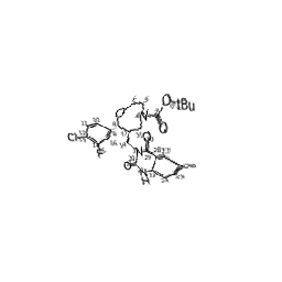 CC(C)(C)OC(=O)N1CCO[C@@H](c2ccc(Cl)c(F)c2)[C@H](Cn2c(=O)[nH]c3ccccc3c2=O)C1